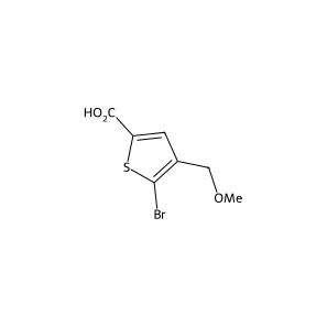 COCc1cc(C(=O)O)sc1Br